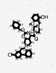 COc1cccc(O)c1CN1CCN(C(=O)[C@H](NC(=O)OCc2ccccc2)C2CCN(CCc3cc(Cl)ccc3-c3ccccc3)CC2)CC1